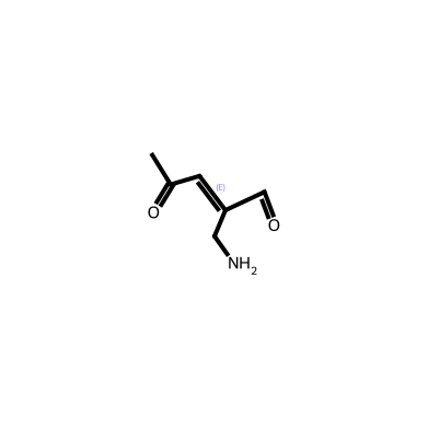 CC(=O)/C=C(/C=O)CN